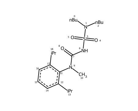 CCCCN(CCCC)S(=O)(=O)NC(=O)N(C)c1c(C(C)C)cccc1C(C)C